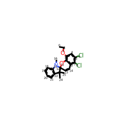 CCOc1cc(Cl)c(Cl)c2c1OC1(C=C2)N(C)c2ccccc2C1(C)C